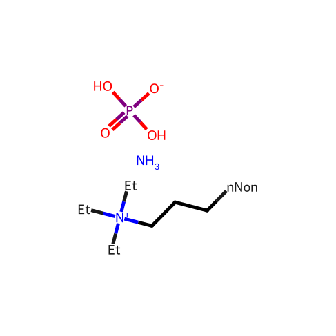 CCCCCCCCCCCC[N+](CC)(CC)CC.N.O=P([O-])(O)O